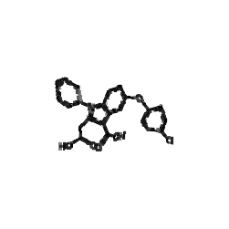 O=C(O)Cc1c(C(=O)O)c2cc(Oc3ccc(Cl)cc3)ccc2n1-c1ccccc1